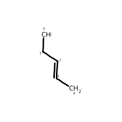 [CH]C/C=C/[CH2]